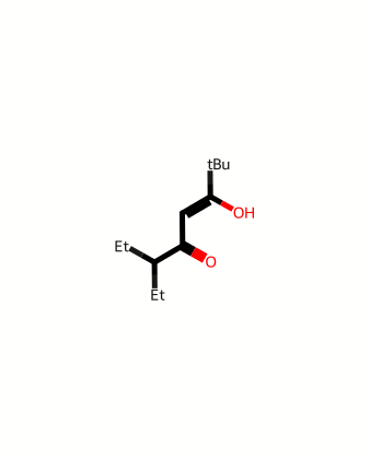 CCC(CC)C(=O)/C=C(\O)C(C)(C)C